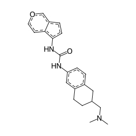 CN(C)CC1CCc2cc(NC(=O)Nc3ccc4coccc3-4)ccc2C1